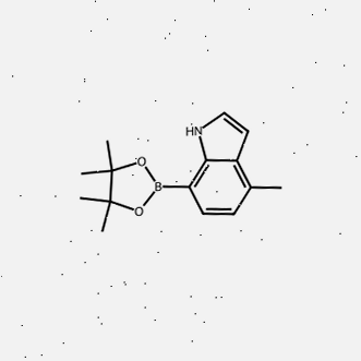 Cc1ccc(B2OC(C)(C)C(C)(C)O2)c2[nH]ccc12